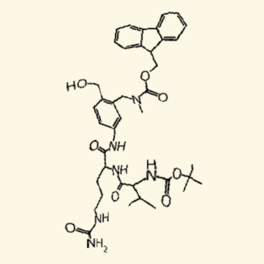 CC(C)C(NC(=O)OC(C)(C)C)C(=O)NC(CCCNC(N)=O)C(=O)Nc1ccc(CO)c(CN(C)C(=O)OCC2c3ccccc3-c3ccccc32)c1